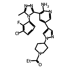 CCC(=O)N1CCC(n2cc(-c3cnc(N)c(-c4nnc(C)n4-c4cccc(Cl)c4F)c3)cn2)CC1